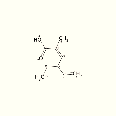 C=CC(C=C(C)C(=O)O)CC